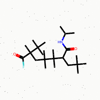 CC(C)NC(=O)C(CC(C)(C)C)C(C)(C)C(C)(C)CC(C)(C(=O)F)C(C)(C)C